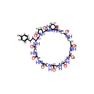 Cc1ccc(CCC2NC(=O)CNC(=O)CNC(=O)CNC(=O)CNC(=O)CNC(=O)CNC(=O)CCNC(=O)CNC(=O)C3(CCCC3)NC(=O)C3CCCN3C2=O)cc1